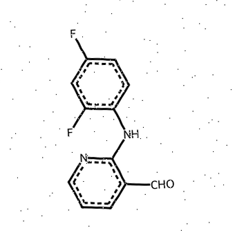 O=Cc1cccnc1Nc1ccc(F)cc1F